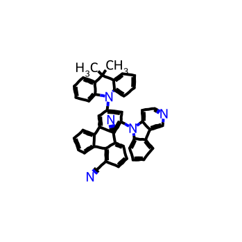 CC1(C)c2ccccc2N(c2cc(-c3ccccc3-c3c(C#N)cccc3C#N)cc(-n3c4ccccc4c4cnccc43)c2)c2ccccc21